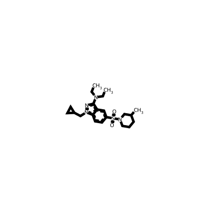 CCN(CC)c1nn(CC2CC2)c2ccc(S(=O)(=O)N3CCCC(C)C3)cc12